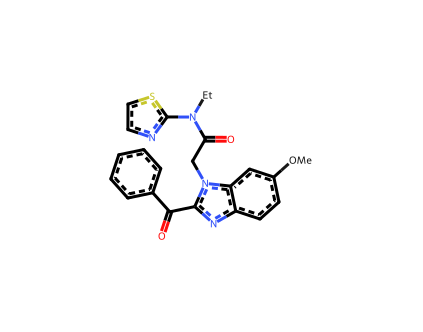 CCN(C(=O)Cn1c(C(=O)c2ccccc2)nc2ccc(OC)cc21)c1nccs1